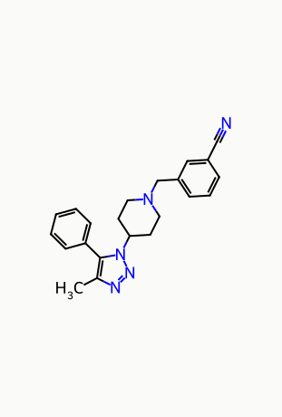 Cc1nnn(C2CCN(Cc3cccc(C#N)c3)CC2)c1-c1ccccc1